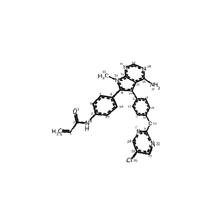 C=CC(=O)Nc1ccc(-c2c(-c3ccc(Oc4ncc(Cl)cn4)cc3)c3c(N)ncnc3n2C)cc1